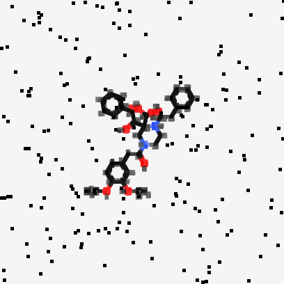 COc1ccc(CC(=O)N2CCN(C(=O)Cc3ccccc3)C(C(=O)O)(C(=O)Cc3ccccc3)C2)cc1OC